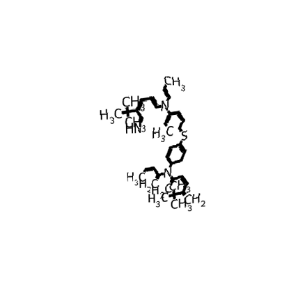 C=C(/C=C\C)N(C(=C)/C=C\C(=C)C(C)(C)C)C1C=CC(SC/C=C\C(=C/C)N(/C=C/C)/C=C/C=C(\C=N)C(C)(C)C)=CC1